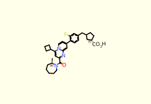 C[C@@H]1CCCCCN1C(=O)C1=NC2=CC(c3ccc(CC4CC[C@H](C(=O)O)C4)cc3F)=C=CN2C(C2CCC2)=C1